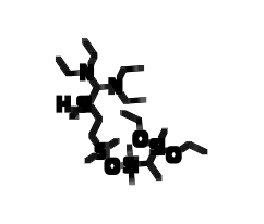 CCO[Si](C)(OCC)C(C)[Si](C)(C)O[Si](C)(C)CC[SiH2]C(N(CC)CC)N(CC)CC